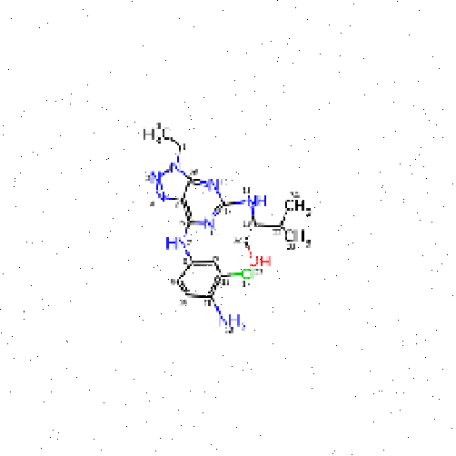 CCn1nnc2c(Nc3ccc(N)c(Cl)c3)nc(N[C@@H](CO)C(C)C)nc21